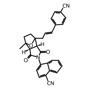 CC12CCC(C/C=C/c3ccc(C#N)cc3)(O1)[C@@H]1C(=O)N(c3ccc(C#N)c4ccccc34)C(=O)[C@@H]12